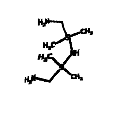 C[Si](C)(CN)N[Si](C)(C)CN